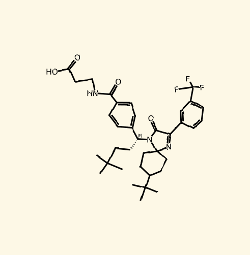 CC(C)(C)CC[C@H](c1ccc(C(=O)NCCC(=O)O)cc1)N1C(=O)C(c2cccc(C(F)(F)F)c2)=NC12CCC(C(C)(C)C)CC2